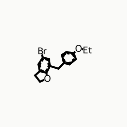 CCOc1ccc(Cc2cc(Br)cc3c2OCC3)cc1